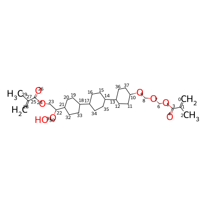 C=C(C)C(=O)OCOCOC1CCC(C2CCC(C3CCC(C(COC(=O)C(=C)C)OO)CC3)CC2)CC1